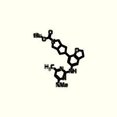 CNc1cc(C)nc(Nc2cc3c(c(C4CC5CN(C(=O)OC(C)(C)C)CC5C4)c2)OCC3)n1